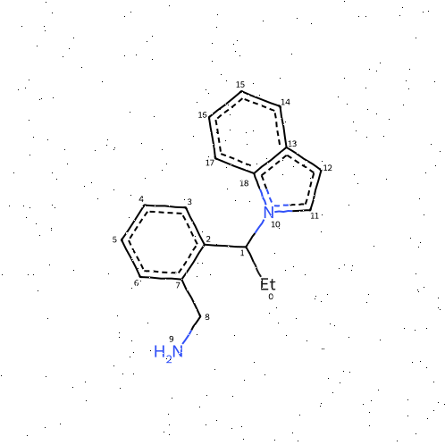 CCC(c1ccccc1CN)n1ccc2ccccc21